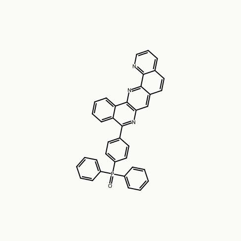 O=P(c1ccccc1)(c1ccccc1)c1ccc(-c2nc3cc4ccc5cccnc5c4nc3c3ccccc23)cc1